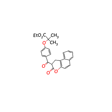 CCOC(=O)C(C)(C)Oc1ccc(C(=O)C2Cc3c(ccc4ccccc34)OC2=O)cc1